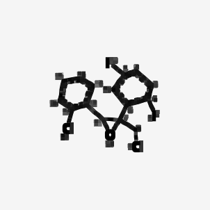 Fc1ccc(F)c(C2(CCl)OC2c2ccccc2Cl)c1